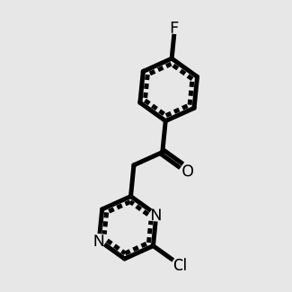 O=C(Cc1cncc(Cl)n1)c1ccc(F)cc1